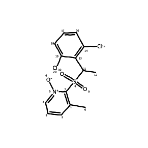 Cc1ccc[n+]([O-])c1S(=O)(=O)C(C)c1c(Cl)cccc1Cl